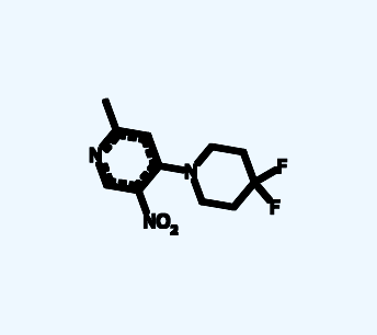 Cc1cc(N2CCC(F)(F)CC2)c([N+](=O)[O-])cn1